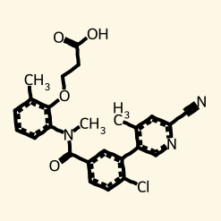 Cc1cc(C#N)ncc1-c1cc(C(=O)N(C)c2cccc(C)c2OCCC(=O)O)ccc1Cl